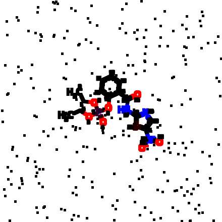 CCOP(=O)(OCC)Oc1ccccc1C(=O)Nc1ncc([N+](=O)[O-])s1